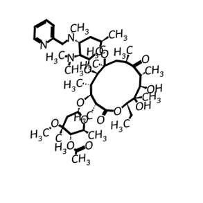 CC[C@H]1OC(=O)[C@H](C)[C@@H](O[C@H]2C[C@@](C)(OC)[C@@H](OC(C)=O)[C@H](C)O2)[C@H](C)[C@@H](O[C@@H]2O[C@H](C)C[C@@H](N(C)Cc3ccccn3)[C@@H]2N(C)C)[C@@](C)(OC)C[C@@H](C)C(=O)[C@H](C)[C@@H](O)[C@]1(C)O